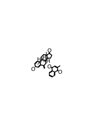 C=C1C[C@@H]2[C@H](CC[C@]3(C)C(=O)CC[C@@H]23)[C@@]2(C)C=CC(=O)C=C12.CC1=CC(=O)c2ccccc2C1=O